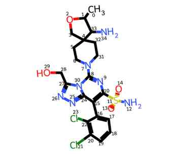 CC1OCC2(CCN(c3nc(S(N)(=O)=O)c(-c4cccc(Cl)c4Cl)c4nnc(CO)n34)CC2)C1N